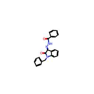 O=C(N/N=C1/C(=O)N(Cc2ccccc2)c2ccccc21)c1ccccc1